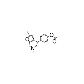 CC(=O)Oc1ccc(C2CN(C)Cc3oc(C)cc32)cc1